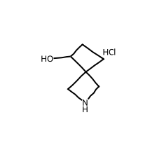 Cl.OC1CCC12CNC2